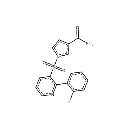 NC(=O)c1ccn(S(=O)(=O)c2cccnc2-c2ccccc2F)c1